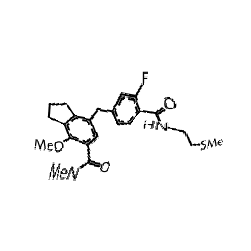 CNC(=O)c1cc(Cc2ccc(C(=O)NCCSC)c(F)c2)c2c(c1OC)CCC2